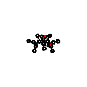 c1ccc(-c2ccc3c(c2)c2cc(-c4ccccc4)ccc2n3-c2cc3c4c(c2)-n2c5ccccc5c5cccc(c52)B4N2B4c5c(cc(-n6c7ccc(-c8ccccc8)cc7c7cc(-c8ccccc8)ccc76)cc5-n5c6ccccc6c6cccc4c65)-c4c2c-3cc2c3ccccc3n(-c3ccccc3)c42)cc1